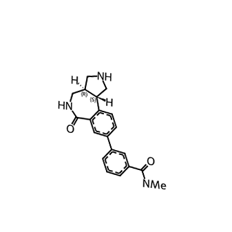 CNC(=O)c1cccc(-c2ccc3c(c2)C(=O)NC[C@H]2CNC[C@H]32)c1